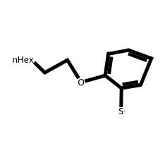 CCCCCCCCOc1ccccc1[S]